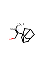 C/C(C(=O)O)=C(\CO)C12CC3CC(CC(C3)C1)C2